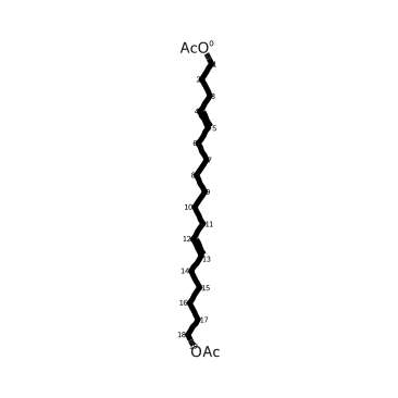 CC(=O)OCCCC=CCCCCCCC=CCCCCCOC(C)=O